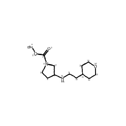 CC(C)(C)OC(=O)N1CCC(NCCC2CCOCC2)C1